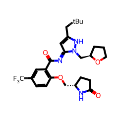 CC(C)(C)Cc1c/c(=N\C(=O)c2cc(C(F)(F)F)ccc2OC[C@@H]2CCC(=O)N2)n(C[C@H]2CCCO2)[nH]1